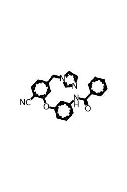 N#Cc1ccc(Cn2ccnc2)cc1Oc1cccc(NC(=O)c2ccccc2)c1